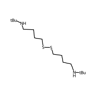 CC(C)(C)NCCCCSSCCCCNC(C)(C)C